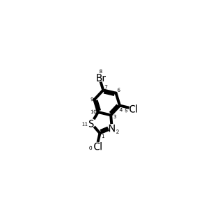 Clc1nc2c(Cl)cc(Br)cc2s1